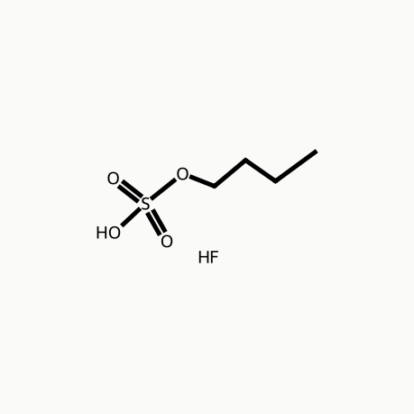 CCCCOS(=O)(=O)O.F